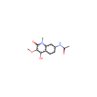 COc1c(O)c2ccc(NC(C)=O)cc2n(C)c1=O